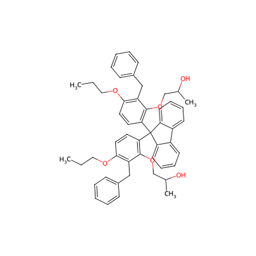 CCCOc1ccc(C2(c3ccc(OCCC)c(Cc4ccccc4)c3OCC(C)O)c3ccccc3-c3ccccc32)c(OCC(C)O)c1Cc1ccccc1